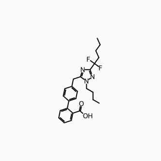 CCCCn1nc(C(F)(F)CCCC)nc1Cc1ccc(-c2ccccc2C(=O)O)cc1